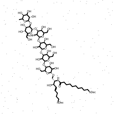 CCCCCCCCCCCCC/C=C/[C@@H](O)[C@H](CO[C@@H]1OC(CO)[C@@H](O[C@@H]2OC(CO)[C@H](O)[C@H](O[C@H]3OC(CO)[C@H](O)[C@H](O[C@@H]4OC(CO)[C@H](O)[C@H](O[C@@H]5OC(CO)[C@H](O)[C@H](O)C5O[C@H]5OC(C)[C@@H](O)C(O)[C@@H]5O)C4NC(C)=O)C3O)C2O)[C@H](O)C1O)NC(=O)CCCCCCCCCCCCCCCCCCC